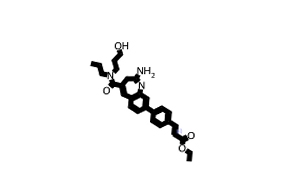 CCCN(CCCO)C(=O)C1=Cc2ccc(-c3ccc(/C=C/C(=O)OCC)cc3)cc2N=C(N)C1